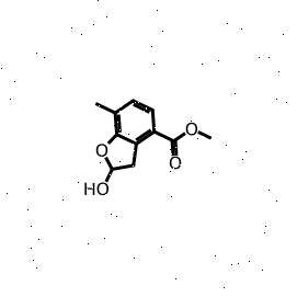 COC(=O)c1ccc(C)c2c1CC(O)O2